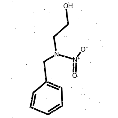 O=[N+]([O-])N(CCO)Cc1ccccc1